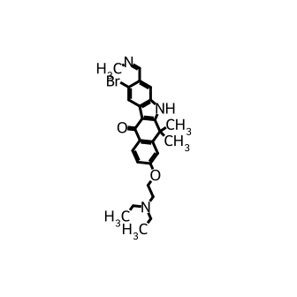 CCN(CC)CCOc1ccc2c(c1)C(C)(C)c1[nH]c3cc(/C=N\C)c(Br)cc3c1C2=O